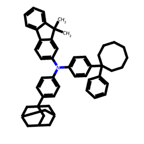 CC1(C)c2ccccc2-c2ccc(N(c3ccc(C45CC6CC(CC(C6)C4)C5)cc3)c3ccc(C4(c5ccccc5)CCCCCCC4)cc3)cc21